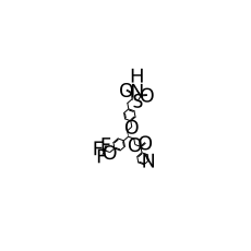 O=C1NC(=O)C(Cc2ccc(OC[C@@H](COC(=O)c3cccnc3)c3ccc(OC(F)(F)F)cc3)cc2)S1